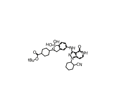 CC(C)(C)OC(=O)C1CCC(N2Cc3cc(Nc4nn(C5CCCCC5C#N)c5cc[nH]c(=O)c45)ccc3S2(O)O)CC1